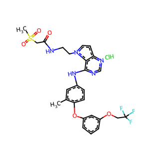 Cc1cc(Nc2ncnc3ccn(CCNC(=O)CS(C)(=O)=O)c23)ccc1Oc1cccc(OCC(F)(F)F)c1.Cl